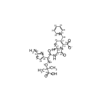 CC(C)(ON=C(C(=O)NC1C(=O)N2C(C(=O)[O-])=C(C[n+]3ccccc3)CS[C@@H]12)c1csc(N)n1)C(=O)O